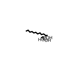 CCCCCCCCCCC(C)P(O)(O)(O)CC